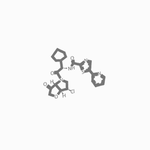 O=C(N[C@H](C(=O)N1C[C@H](Cl)[C@H]2OCC(=O)[C@H]21)C1CCCCC1)c1ncc(-c2ccccn2)s1